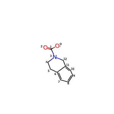 [O]C(=O)N1CCc2ccccc2C1